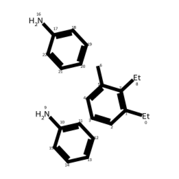 CCc1cccc(C)c1CC.Nc1ccccc1.Nc1ccccc1